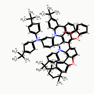 CC(C)(C)c1ccc(N2B3c4ccc(N(c5ccc(C(C)(C)C)cc5)c5ccc(C(C)(C)C)cc5)cc4N(c4ccc(C(C)(C)C)cc4-c4ccccc4)c4cc5c(oc6ccccc65)c(c43)-c3ccc4oc5cc6c(cc5c4c32)C(C)(C)CCC6(C)C)cc1